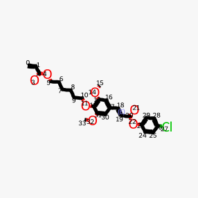 C=CC(=O)OCCCCCCOc1c(OC)cc(/C=C/C(=O)Oc2ccc(Cl)cc2)cc1OC